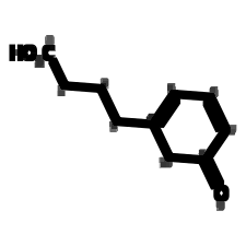 O=C(O)CCCC1=CC=CC(=O)C1